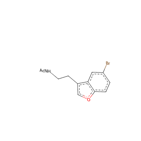 CC(=O)NCCc1coc2ccc(Br)cc12